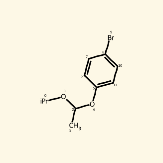 CC(C)OC(C)Oc1ccc(Br)cc1